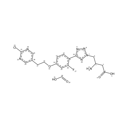 NC(CC(=O)O)Cn1nnc(-c2ccc(OCCc3cnc(Cl)nc3)cc2F)n1.O=CO